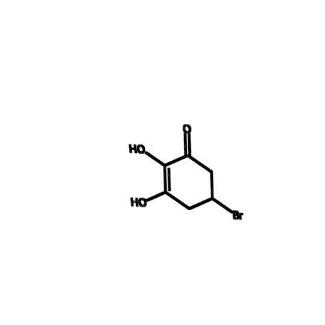 O=C1CC(Br)CC(O)=C1O